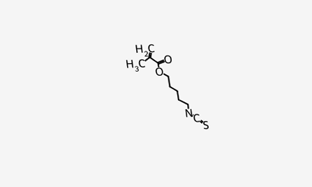 C=C(C)C(=O)OCCCCCN=C=S